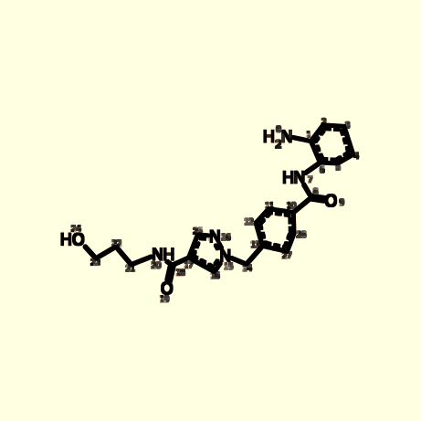 Nc1ccccc1NC(=O)c1ccc(Cn2cc(C(=O)NCCCO)cn2)cc1